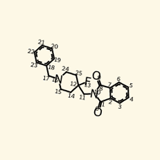 O=C1c2ccccc2C(=O)N1CC1(F)CCN(Cc2ccccc2)CC1